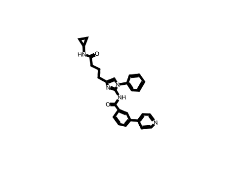 O=C(CCCc1cn(-c2ccccc2)c(NC(=O)c2cccc(-c3ccncc3)c2)n1)NC1CC1